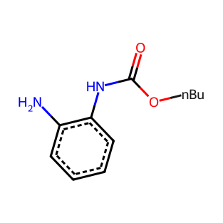 CCCCOC(=O)Nc1ccccc1N